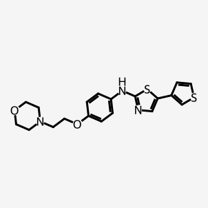 c1cc(-c2cnc(Nc3ccc(OCCN4CCOCC4)cc3)s2)cs1